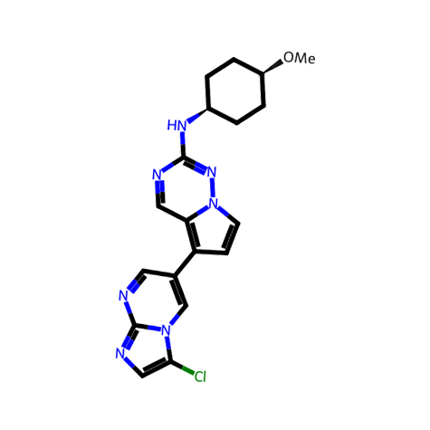 CO[C@H]1CC[C@@H](Nc2ncc3c(-c4cnc5ncc(Cl)n5c4)ccn3n2)CC1